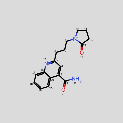 NC(=O)c1cc(CCCN2CCCC2=O)nc2ccccc12